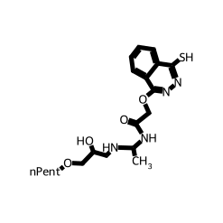 CCCCCOCC(O)CNC(C)NC(=O)COc1nnc(S)c2ccccc12